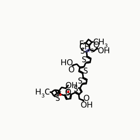 CS/C(=C(/CC(=O)O)C1C(C)CC1F)c1ccc(-c2sc(-c3ccc(-c4cc(CC(=O)O)c(-c5ccc(C6=C(CC(=O)O)C7C(C)C(S6)C7F)s5)s4)s3)cc2CC(=O)O)s1